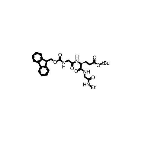 CCNC(=O)CNC(=O)[C@H](CCC(=O)OC(C)(C)C)NC(=O)CNC(=O)OCC1c2ccccc2-c2ccccc21